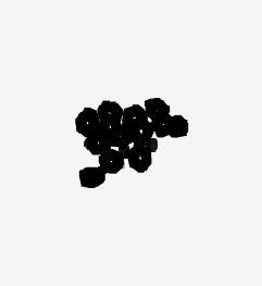 c1ccc(-c2ccc(N(c3ccc4c(c3)C(c3ccccc3)(c3ccccc3)c3ccccc3-4)c3cccc4oc5c(-c6cc7ccccc7c7ccccc67)c6ccccc6cc5c34)cc2)cc1